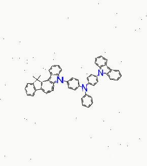 CC1(C)c2ccccc2-c2ccc3c(c21)c1ccccc1n3-c1ccc(N(c2ccccc2)c2ccc(-n3c4ccccc4c4ccccc43)cc2)cc1